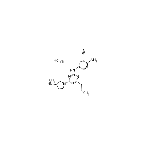 CCCc1cc(N2CCC(NC)C2)nc(Nc2ccc(N)c(C#N)c2)n1.Cl.Cl